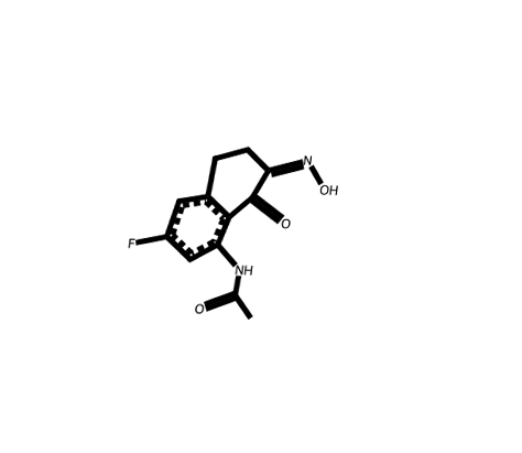 CC(=O)Nc1cc(F)cc2c1C(=O)C(=NO)CC2